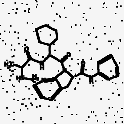 CNC(C)C(=O)NC(C(=O)N1c2ncccc2C[C@H]1C(=O)Nc1ccccc1)C1CCCCC1